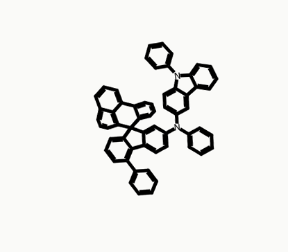 c1ccc(-c2cccc3c2-c2ccc(N(c4ccccc4)c4ccc5c(c4)c4ccccc4n5-c4ccccc4)cc2C32c3ccccc3-c3cccc4cccc2c34)cc1